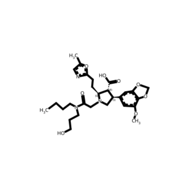 CCCCN(CCCO)C(=O)CN1C[C@H](c2cc(OC)c3c(c2)OCO3)[C@@H](C(=O)O)[C@@H]1CCc1ncc(C)o1